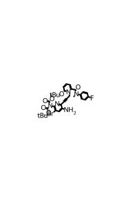 CN(C(=O)c1cccc(=O)n1CC#Cc1nc(N(C(=O)OC(C)(C)C)C(=O)OC(C)(C)C)c(Br)cc1N)c1ccc(F)cc1